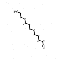 CC(C)CCCCCCCCCCC[O]